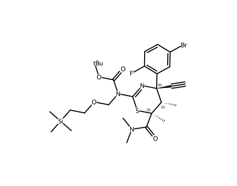 C#C[C@]1(c2cc(Br)ccc2F)N=C(N(COCC[Si](C)(C)C)C(=O)OC(C)(C)C)S[C@](C)(C(=O)N(C)C)[C@H]1C